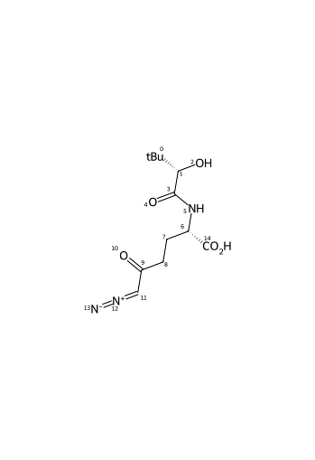 CC(C)(C)[C@H](O)C(=O)N[C@@H](CCC(=O)C=[N+]=[N-])C(=O)O